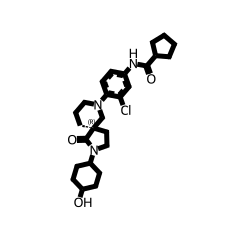 O=C(Nc1ccc(N2CCC[C@@]3(CCN(C4CCC(O)CC4)C3=O)C2)c(Cl)c1)C1CCCC1